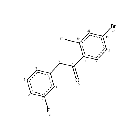 O=C(Cc1cccc(F)c1)c1ccc(Br)cc1F